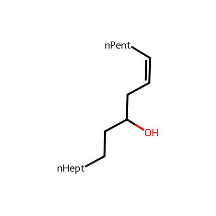 CCCCC/C=C\CC(O)CCCCCCCCC